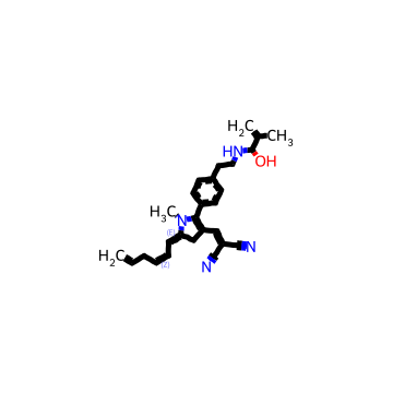 C=CC/C=C\C=C1/CC(C=C(C#N)C#N)=C(c2ccc(CCNC(O)C(=C)C)cc2)N1C